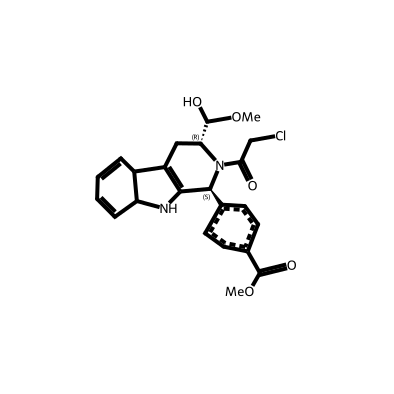 COC(=O)c1ccc([C@H]2C3=C(C[C@H](C(O)OC)N2C(=O)CCl)C2C=CC=CC2N3)cc1